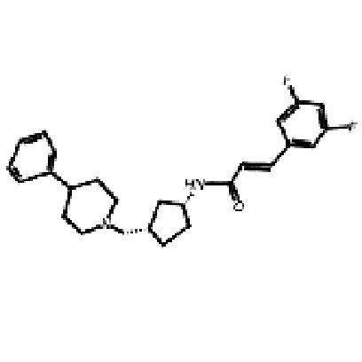 O=C(/C=C/c1cc(F)cc(F)c1)N[C@@H]1CC[C@H](CN2CCC(c3ccccc3)CC2)C1